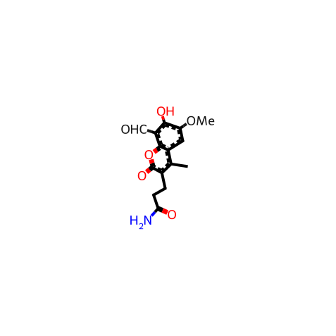 COc1cc2c(C)c(CCC(N)=O)c(=O)oc2c(C=O)c1O